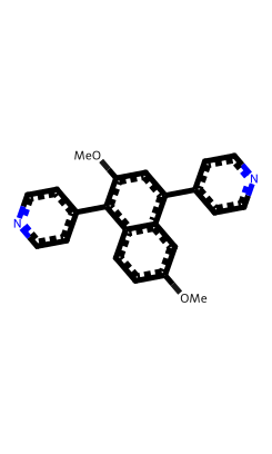 COc1ccc2c(-c3ccncc3)c(OC)cc(-c3ccncc3)c2c1